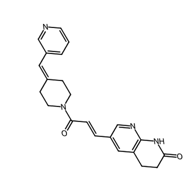 O=C1CCc2cc(C=CC(=O)N3CCC(=Cc4cccnc4)CC3)cnc2N1